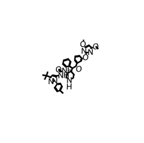 COc1cc(OC)nc(Oc2cccc(C(=O)C(c3ccccc3NC(=O)Nc3cc(C(C)(C)C)nn3-c3ccc(C)cc3)C3CCNCC3)c2)n1